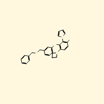 O=C(O)c1ccc(N2CCC2)c(Oc2cccc(CNCc3ccccc3)c2)c1-n1cccc1